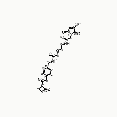 CC(C)C1=CC(=O)N(CC(=O)NCCOCC(=O)NCc2ccc(CC(=O)N3CCC3=O)cc2)C1=O